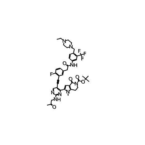 CCN1CCN(Cc2ccc(NC(=O)Cc3ccc(F)c(C#Cc4cnc(NCC(C)=O)nc4-c4cc5c(n4C)CCN(C(=O)OC(C)(C)C)C5=O)c3)cc2C(F)(F)F)CC1